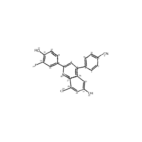 N#Cc1ccc(-c2cc(-c3ccc(O)c(F)c3)nc3c(Cl)cc(O)cc23)cc1